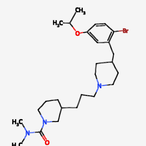 CC(C)Oc1ccc(Br)c(CC2CCN(CCCC3CCCN(C(=O)N(C)C)C3)CC2)c1